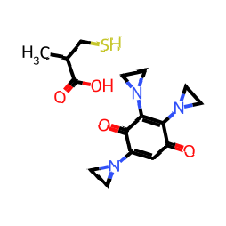 CC(CS)C(=O)O.O=C1C=C(N2CC2)C(=O)C(N2CC2)=C1N1CC1